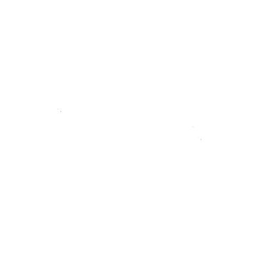 NC(=O)c1ccc(-c2ccc(Cc3ccncc3)cc2)cc1